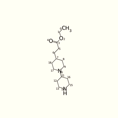 CCOC(=O)CCC1CCN(C2CCNCC2)CC1